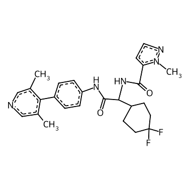 Cc1cncc(C)c1-c1ccc(NC(=O)C(NC(=O)c2ccnn2C)C2CCC(F)(F)CC2)cc1